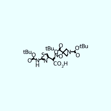 CC(C)(C)OC(=O)Nc1nc(C(=NOC2(C(=O)OC(C)(C)C)CN(C(=O)OC(C)(C)C)C2)C(=O)O)cs1